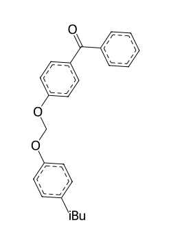 CCC(C)c1ccc(OCOc2ccc(C(=O)c3ccccc3)cc2)cc1